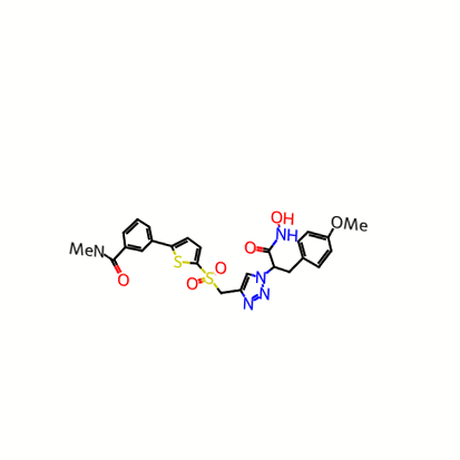 CNC(=O)c1cccc(-c2ccc(S(=O)(=O)Cc3cn(C(Cc4ccc(OC)cc4)C(=O)NO)nn3)s2)c1